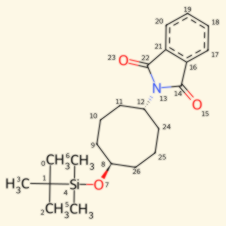 CC(C)(C)[Si](C)(C)O[C@H]1CCC[C@H](N2C(=O)c3ccccc3C2=O)CCC1